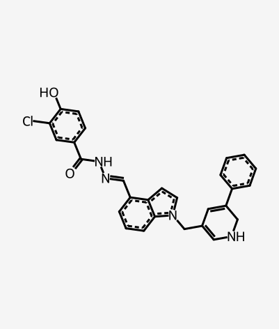 O=C(N/N=C/c1cccc2c1ccn2CC1=CNCC(c2ccccc2)=C1)c1ccc(O)c(Cl)c1